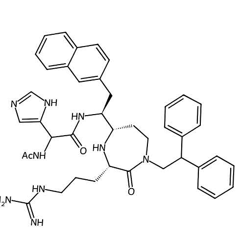 CC(=O)NC(C(=O)N[C@@H](Cc1ccc2ccccc2c1)[C@@H]1CCN(CC(c2ccccc2)c2ccccc2)C(=O)[C@H](CCCNC(=N)N)N1)c1cnc[nH]1